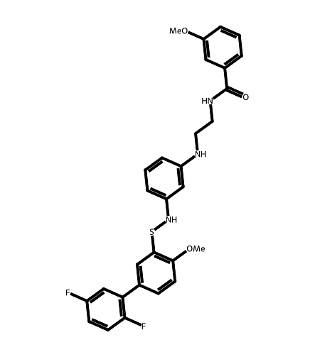 COc1cccc(C(=O)NCCNc2cccc(NSc3cc(-c4cc(F)ccc4F)ccc3OC)c2)c1